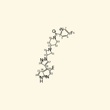 O=C(c1ccc(F)cn1)N1CCC(N2CC(n3cc(-c4c(F)cnc5[nH]ccc45)cn3)C2)CC1